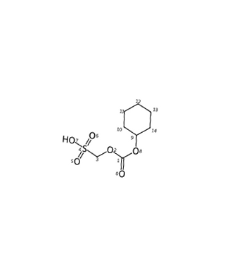 O=C(OCS(=O)(=O)O)OC1CCCCC1